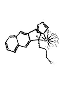 CCCC[C]1([Hf]([CH3])([CH3])([CH3])([CH3])([CH3])([CH3])([CH3])[CH]2C=CC=C2)C=Cc2cc3ccccc3cc21